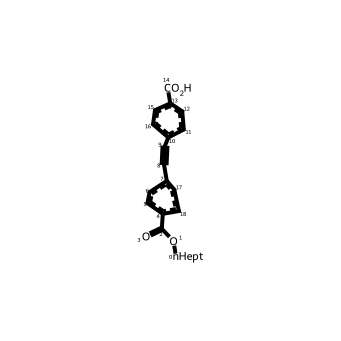 CCCCCCCOC(=O)c1ccc(C#Cc2ccc(C(=O)O)cc2)cc1